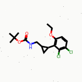 CCOc1ccc(Cl)c(Cl)c1C1CC1CNC(=O)OC(C)(C)C